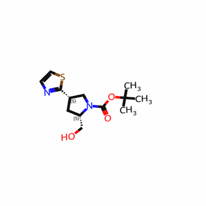 CC(C)(C)OC(=O)N1C[C@@H](c2nccs2)C[C@H]1CO